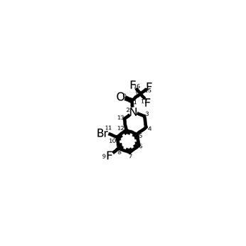 O=C(N1CCc2ccc(F)c(Br)c2C1)C(F)(F)F